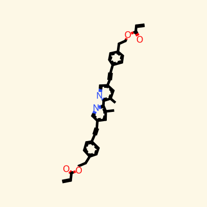 C=CC(=O)OCCc1ccc(C#Cc2cnc(-c3ncc(C#Cc4ccc(CCOC(=O)C=C)cc4)cc3C)c(C)c2)cc1